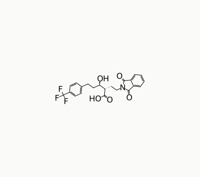 O=C(O)[C@@H](CCN1C(=O)c2ccccc2C1=O)[C@H](O)CCc1ccc(C(F)(F)F)cc1